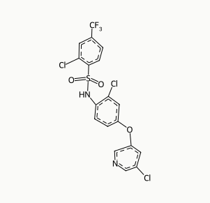 O=S(=O)(Nc1ccc(Oc2cncc(Cl)c2)cc1Cl)c1ccc(C(F)(F)F)cc1Cl